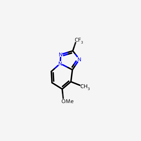 COc1ccn2nc(C(F)(F)F)nc2c1C